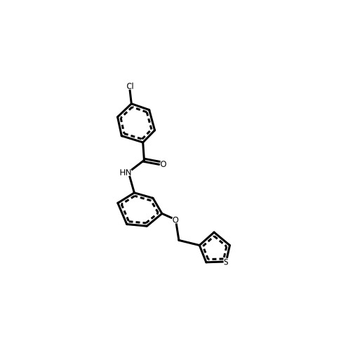 O=C(Nc1cccc(OCc2ccsc2)c1)c1ccc(Cl)cc1